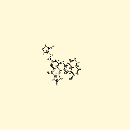 CN1CCC[C@H]1COc1nc2c(c(N(C)[C@@H]3CCNC3)n1)CCN(c1cccc3ccc(F)c(Cl)c13)C2